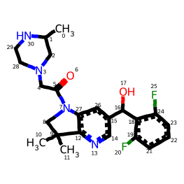 CC1CN(CC(=O)N2CC(C)(C)c3ncc(C(O)c4c(F)cccc4F)cc32)CCN1